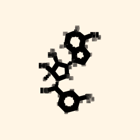 C[C@@]1(O)[C@@H](C(O)c2cccc(C(F)(F)F)c2)O[C@@H](n2ccc3c(N)ncnc32)[C@@H]1O